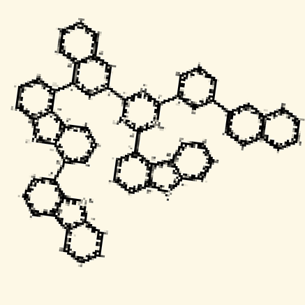 c1cc(-c2ccc3ccccc3c2)cc(-c2nc(-c3cc(-c4cccc5oc6c(-c7cccc8c7oc7ccccc78)cccc6c45)c4ccccc4c3)nc(-c3cccc4oc5ccccc5c34)n2)c1